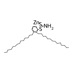 CCCCCCCCCCCCCCc1cccc(SC(N)=S)c1CCCCCCCCCCCCCC.[Zn]